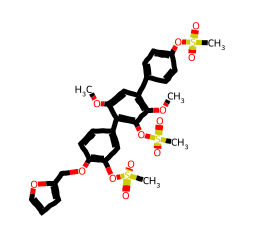 COc1cc(-c2ccc(OS(C)(=O)=O)cc2)c(OC)c(OS(C)(=O)=O)c1-c1ccc(OCc2ccco2)c(OS(C)(=O)=O)c1